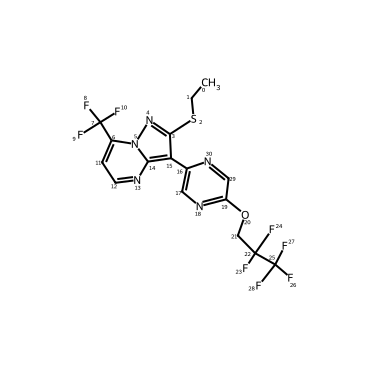 CCSc1nn2c(C(F)(F)F)ccnc2c1-c1cnc(OCC(F)(F)C(F)(F)F)cn1